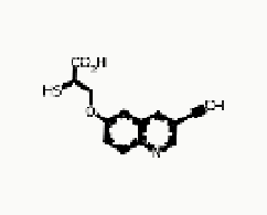 C#Cc1cnc2ccc(OCC(S)C(=O)O)cc2c1